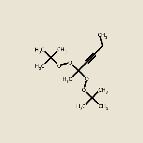 CCC#CC(C)(OOC(C)(C)C)OOC(C)(C)C